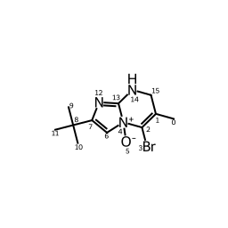 CC1=C(Br)[N+]2([O-])C=C(C(C)(C)C)N=C2NC1